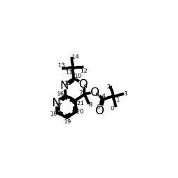 CC(C)(C)C(=O)OC1(C)OC(C(C)(C)C)=Nc2ncccc21